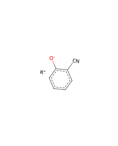 N#Cc1ccccc1[O-].[K+]